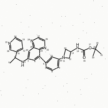 CC(Nc1cc(-c2cccc(N3CC(NC(=O)OC(C)(C)C)C3)c2)c2nccnc2c1)c1cccnc1